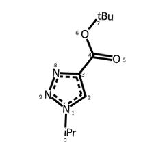 CC(C)n1cc(C(=O)OC(C)(C)C)nn1